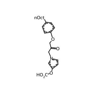 CCCCCCCCc1ccc(OCC(=O)Cn2ccc(OC(=O)O)c2)cc1